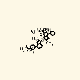 CC1=Cc2c(-c3ccc(C(C)(C)C)cc3)cccc2[CH]1[Zr+2][CH]1C(C)=Cc2c1cc(C(C)(C)C)c(C)c2-c1ccccc1.[Cl-].[Cl-]